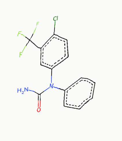 NC(=O)N(c1ccccc1)c1ccc(Cl)c(C(F)(F)F)c1